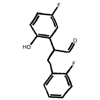 O=CC(Cc1ccccc1F)c1cc(F)ccc1O